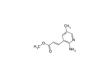 COC(=O)C=Cc1cc(C)cnc1N